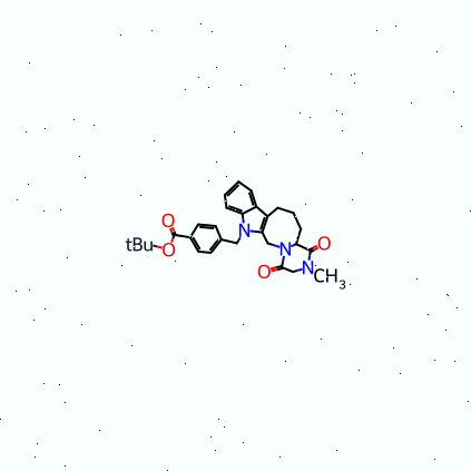 CN1CC(=O)N2Cc3c(c4ccccc4n3Cc3ccc(C(=O)OC(C)(C)C)cc3)CCCC2C1=O